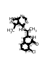 Cc1n[nH]c2ncnc(N[C@@H](C)c3cc4cccc(Cl)c4c(=O)[nH]3)c12